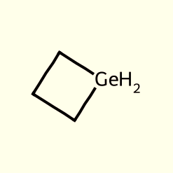 C1[CH2][GeH2][CH2]1